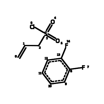 C=CCS(=O)(=O)Cl.Fc1ccccc1F